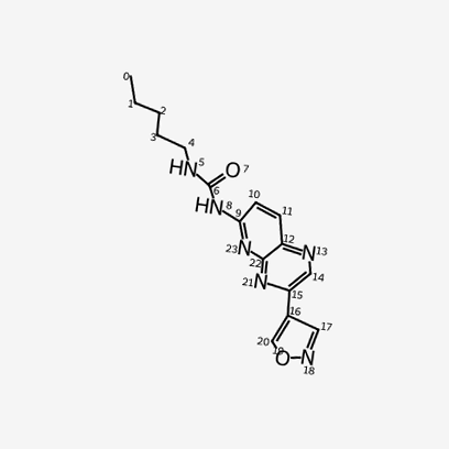 CCCCCNC(=O)Nc1ccc2ncc(-c3cnoc3)nc2n1